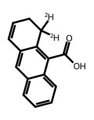 [2H]C1([2H])CC=Cc2cc3ccccc3c(C(=O)O)c21